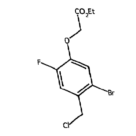 CCOC(=O)COc1cc(Br)c(CCl)cc1F